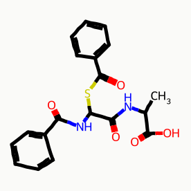 CC(NC(=O)C(NC(=O)c1ccccc1)SC(=O)c1ccccc1)C(=O)O